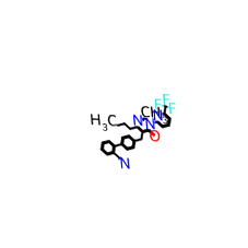 CCCCc1nc(C)n(-c2cccc(C(F)(F)F)n2)c(=O)c1Cc1ccc(-c2ccccc2C#N)cc1